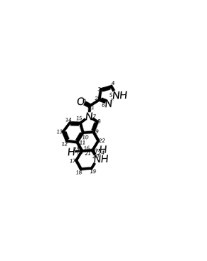 O=C(c1cc[nH]n1)n1cc2c3c(cccc31)[C@H]1CCCN[C@@H]1C2